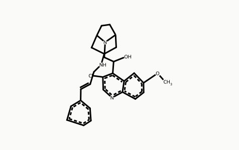 COc1ccc2ncc(Cl)c(C(O)CN3C4CCC3CC(NCC=Cc3ccccc3)C4)c2c1